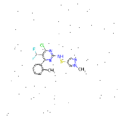 Cc1ccccc1-c1nc(NSc2cnn(C)c2)nc(Cl)c1C(F)F